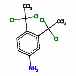 Nc1ccc(C(Cl)(Cl)C(Cl)(Cl)Cl)c(C(Cl)(Cl)C(Cl)(Cl)Cl)c1